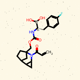 C=CC(=O)N1C2CC2C2CCC1(COC(=O)N[C@@H](Cc1ccc(F)cc1)B(O)O)C2